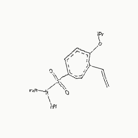 C=Cc1cc(S(=O)(=O)N(CCC)CCC)ccc1OC(C)C